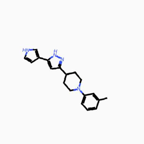 Cc1cccc(N2CCC(c3cc(-c4cc[nH]c4)[nH]n3)CC2)c1